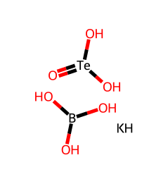 O=[Te](O)O.OB(O)O.[KH]